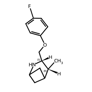 C[C@@H]1C2CC(C2)N[C@@H]1COc1ccc(F)cc1